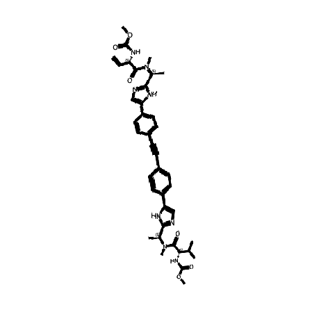 C=C[C@H](NC(=O)OC)C(=O)N(C)[C@@H](C)c1ncc(-c2ccc(C#Cc3ccc(-c4cnc([C@H](C)N(C)C(=O)[C@@H](NC(=O)OC)C(C)C)[nH]4)cc3)cc2)[nH]1